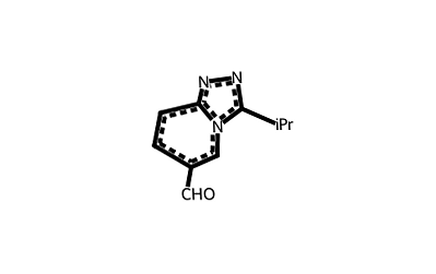 CC(C)c1nnc2ccc(C=O)cn12